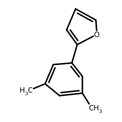 Cc1cc(C)cc(-c2ccco2)c1